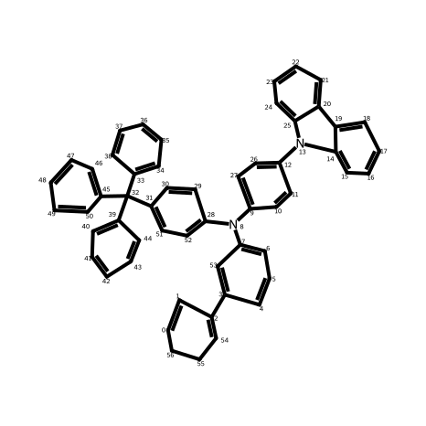 C1=CC(c2cccc(N(c3ccc(-n4c5ccccc5c5ccccc54)cc3)c3ccc(C(c4ccccc4)(c4ccccc4)c4ccccc4)cc3)c2)=CCC1